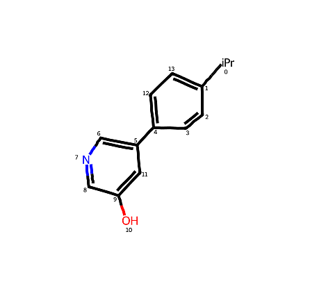 CC(C)c1ccc(-c2cncc(O)c2)cc1